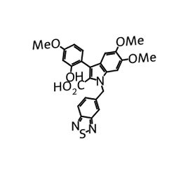 COc1ccc(-c2c(C(=O)O)n(Cc3ccc4nsnc4c3)c3cc(OC)c(OC)cc23)c(O)c1